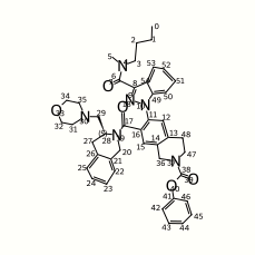 CCCCN(C)C(=O)c1nn(-c2cc3c(cc2C(=O)N2Cc4ccccc4C[C@H]2CN2CCOCC2)CN(C(=O)Oc2ccccc2)CC3)c2ccccc12